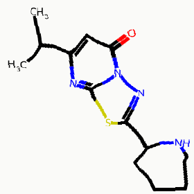 CC(C)c1cc(=O)n2nc(C3CCCCN3)sc2n1